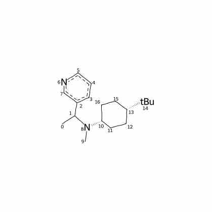 CC(c1cccnc1)N(C)[C@H]1CC[C@@H](C(C)(C)C)CC1